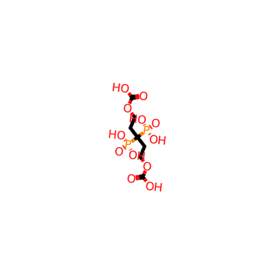 O=C(O)OCCC(CCOC(=O)O)(P(=O)(O)O)P(=O)(O)O